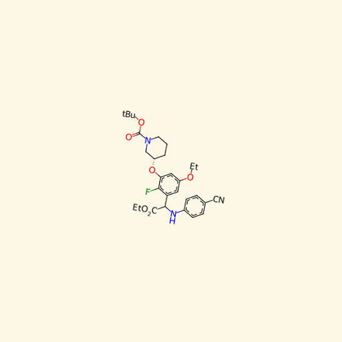 CCOC(=O)C(Nc1ccc(C#N)cc1)c1cc(OCC)cc(O[C@H]2CCCN(C(=O)OC(C)(C)C)C2)c1F